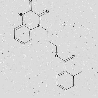 Cc1ccccc1C(=O)OCCCn1c(=O)c(=O)[nH]c2ccccc21